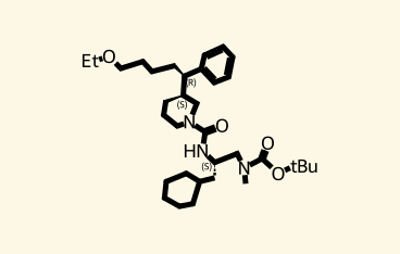 CCOCCCC[C@@H](c1ccccc1)[C@@H]1CCCN(C(=O)N[C@@H](CC2CCCCC2)CN(C)C(=O)OC(C)(C)C)C1